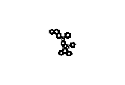 c1ccc(N(c2ccc3c(ccc4ccccc43)c2)c2ccc3c4c5ccccc5c5ccccc5c4n(-c4ccccc4)c3c2)cc1